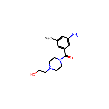 COc1cc(N)cc(C(=O)N2CCN(CCO)CC2)c1